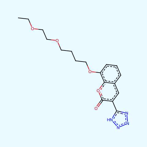 CCOCCOCCCCOc1cccc2cc(-c3nnn[nH]3)c(=O)oc12